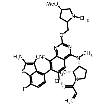 C=CC(=O)N1CC[C@@H](N(C)c2nc(OCC3C[C@@H](OC)CN3C)nc3c(F)c(-c4ccc(F)c5sc(N)c(C#N)c45)c(C(F)(F)F)cc23)[C@H]1C